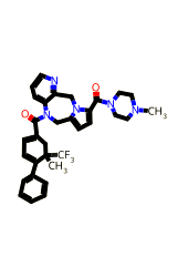 CN1CCN(C(=O)c2ccc3n2Cc2ncccc2N(C(=O)C2=CC=C(c4ccccc4)C(C)(C(F)(F)F)C2)C3)CC1